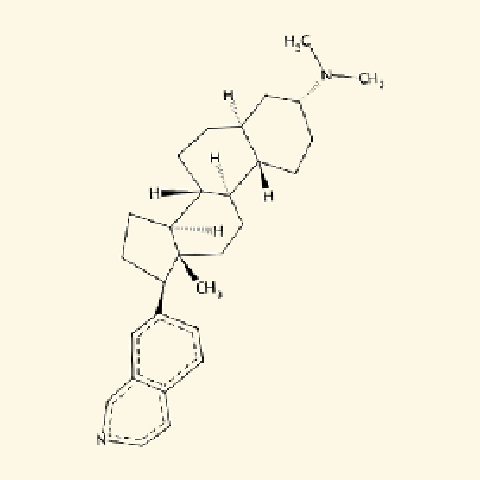 CN(C)[C@@H]1CC[C@H]2[C@@H](CC[C@@H]3[C@@H]2CC[C@]2(C)[C@@H](c4ccc5ccncc5c4)CC[C@@H]32)C1